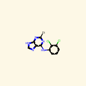 CCc1nc(Nc2cccc(Cl)c2Cl)c2nc[nH]c2n1